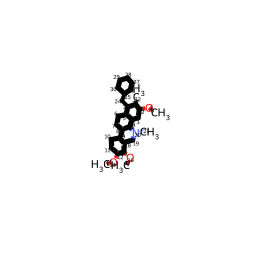 COc1cc2c(ccc3c4ccc(OC)c(OC)c4c[n+](C)c23)c(Cc2ccccc2)c1C